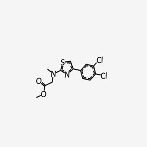 COC(=O)CN(C)c1nc(-c2ccc(Cl)c(Cl)c2)cs1